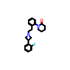 O=C1CCCCN1c1ccccc1CCN1CC(c2ccccc2F)C1